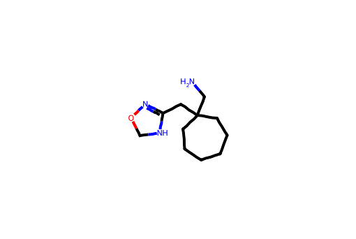 NCC1(CC2=NOCN2)CCCCCC1